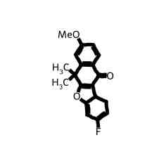 COc1ccc2c(c1)C(C)(C)C1=C(C2=O)C2CC=C(F)C=C2O1